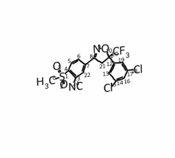 CS(=O)(=O)c1ccc(C2=NOC(c3cc(Cl)cc(Cl)c3)(C(F)(F)F)C2)cc1C#N